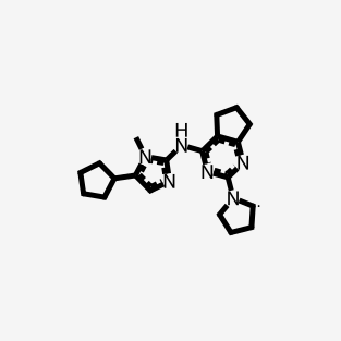 Cn1c(C2CCCC2)cnc1Nc1nc(N2[CH]CCC2)nc2c1CCC2